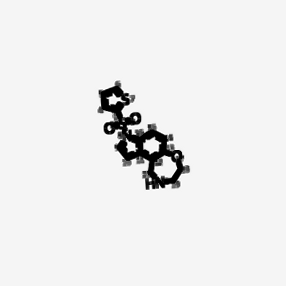 O=S(=O)(c1cccs1)n1ccc2c3c(ccc21)OCCNC3